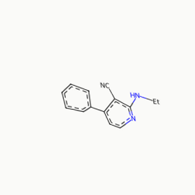 CCNc1nccc(-c2ccccc2)c1C#N